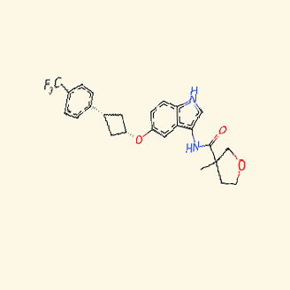 CC1(C(=O)Nc2c[nH]c3ccc(O[C@H]4C[C@@H](c5ccc(C(F)(F)F)cc5)C4)cc23)CCOC1